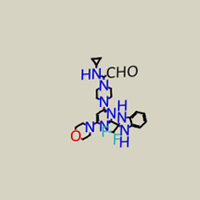 O=CC(NC1CC1)N1CCN(c2cc(N3CCOCC3)nc(C3(C(F)F)Nc4ccccc4N3)n2)CC1